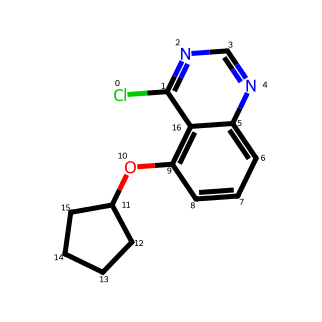 Clc1ncnc2cccc(OC3CCCC3)c12